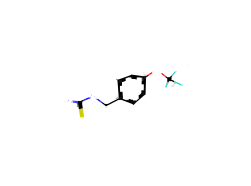 NC(=S)NCc1ccc(OC(F)(F)F)cc1